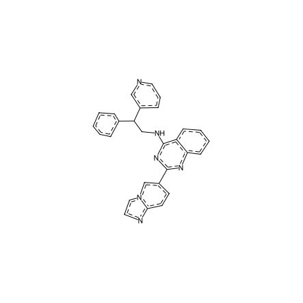 c1ccc(C(CNc2nc(-c3ccc4nccn4c3)nc3ccccc23)c2cccnc2)cc1